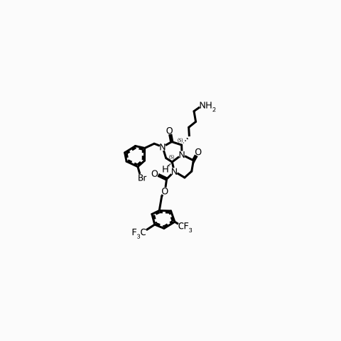 NCCCC[C@H]1C(=O)N(Cc2cccc(Br)c2)C[C@@H]2N(C(=O)OCc3cc(C(F)(F)F)cc(C(F)(F)F)c3)CCC(=O)N21